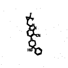 N#Cc1c(N2CCC(O)(c3ccccc3)CC2)ccn2c(CC3CC3(F)F)nnc12